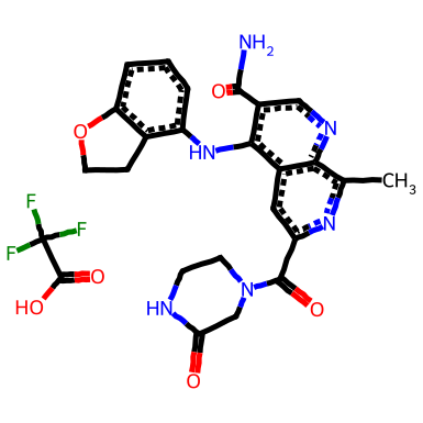 Cc1nc(C(=O)N2CCNC(=O)C2)cc2c(Nc3cccc4c3CCO4)c(C(N)=O)cnc12.O=C(O)C(F)(F)F